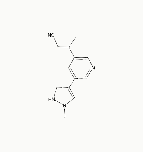 CC(CC#N)c1cncc(C2=CN(C)NC2)c1